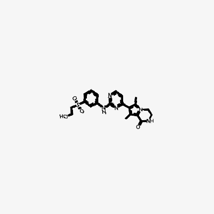 Cc1c(-c2ccnc(Nc3cccc(S(=O)(=O)CCO)c3)n2)c(C)n2c1C(=O)NCC2